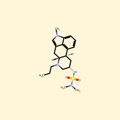 CCCN1C[C@@H](NS(=O)(=O)N(C)C)C[C@@H]2c3cccc4c3c(cn4C)C[C@H]21